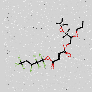 CCCOC(COC(=O)C=CC(=O)OC(F)(F)C(F)(F)C(F)CC(F)(F)F)[Si](C)(C)O[Si](C)(C)C